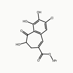 CCCOC(=O)C1=Cc2cc(Cl)c(O)c(O)c2C(=O)C(O)C1